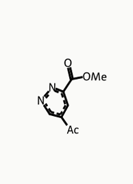 COC(=O)c1cc(C(C)=O)cnn1